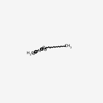 CCCCCCCCCCCCCCCCCC(=O)Oc1ccc(/N=C/c2ccc(OC)cc2)cc1